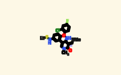 CCSNc1ccc(Oc2ccc(F)cc2Cl)c(C2=CN(C)C(=O)/C(=C/NC)C2=N)c1